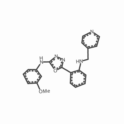 COc1cccc(Nc2nnc(-c3ccccc3NCc3ccncc3)o2)c1